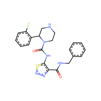 O=C(NCc1ccccc1)c1nnsc1NC(=O)N1CCNCC1c1ccccc1F